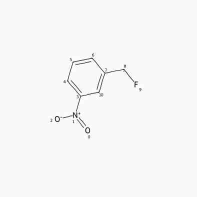 O=[N+]([O-])c1cccc([CH]F)c1